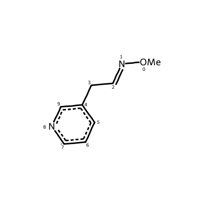 CON=CCc1cc[c]nc1